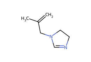 C=C(C)CN1C=NCC1